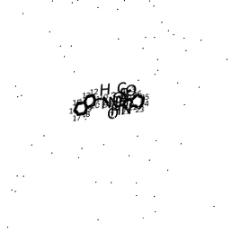 CS(=O)(=O)c1c(C(=O)NN=Cc2ccc3ccccc3c2)[nH]c2ccccc12